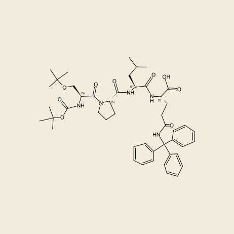 CC(C)C[C@H](NC(=O)[C@@H]1CCCN1C(=O)[C@H](COC(C)(C)C)NC(=O)OC(C)(C)C)C(=O)N[C@@H](CCC(=O)NC(c1ccccc1)(c1ccccc1)c1ccccc1)C(=O)O